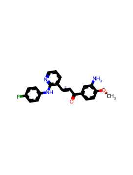 COc1ccc(C(=O)/C=C/c2cccnc2Nc2ccc(F)cc2)cc1N